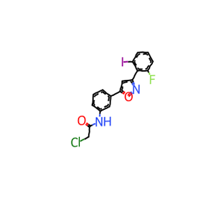 O=C(CCl)Nc1cccc(-c2cc(-c3c(F)cccc3I)no2)c1